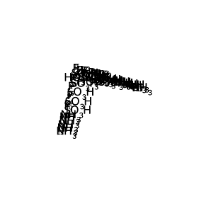 N.N.N.N.N.N.N.N.N.N.N.N.N.N.O=S(=O)(O)F.O=S(=O)(O)F.O=S(=O)(O)F.O=S(=O)(O)F.O=S(=O)(O)F.O=S(=O)(O)F.O=S(=O)(O)F.O=S(=O)(O)F.O=S(=O)(O)F.O=S(=O)(O)F.O=S(=O)(O)F.O=S(=O)(O)F.O=S(=O)(O)F.O=S(=O)(O)F